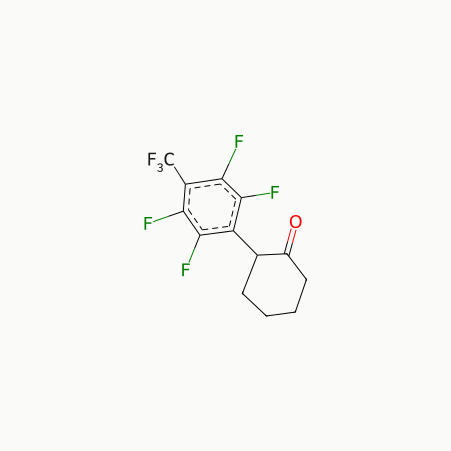 O=C1CCCCC1c1c(F)c(F)c(C(F)(F)F)c(F)c1F